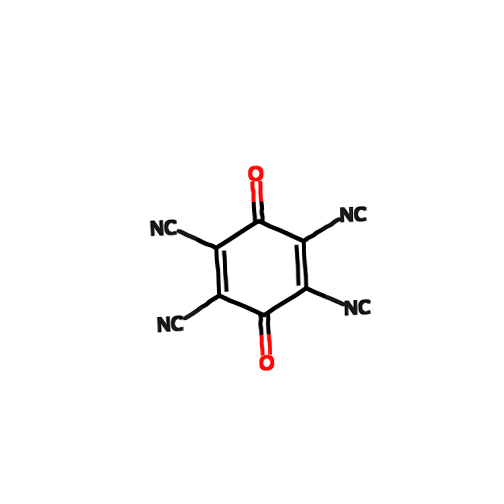 [C-]#[N+]C1=C([N+]#[C-])C(=O)C(C#N)=C(C#N)C1=O